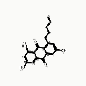 CCCCCc1cc(O)cc2c1C(=O)c1c(O)cc(O)cc1C2=O